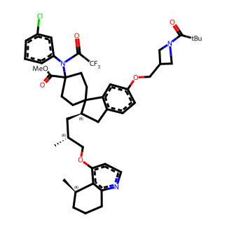 COC(=O)C1(N(C(=O)C(F)(F)F)c2cccc(Cl)c2)CCC2(CC1)c1cc(OCC3CN(C(=O)C(C)(C)C)C3)ccc1C[C@H]2C[C@@H](C)COc1ccnc2c1[C@H](C)CCC2